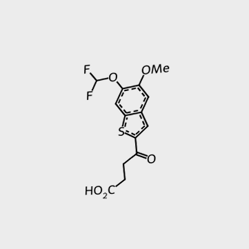 COc1cc2cc(C(=O)CCC(=O)O)sc2cc1OC(F)F